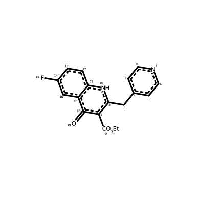 CCOC(=O)c1c(Cc2ccncc2)[nH]c2ccc(F)cc2c1=O